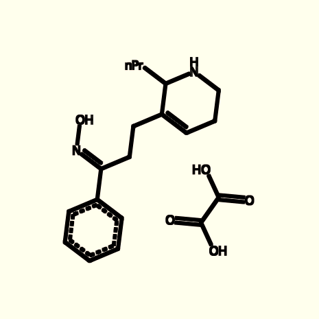 CCCC1NCCC=C1CCC(=NO)c1ccccc1.O=C(O)C(=O)O